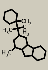 CC1CC(C(C)(C)C2(C)CCCCC2)CC2C1CC1CCCCC12